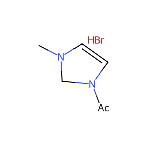 Br.CC(=O)N1C=CN(C)C1